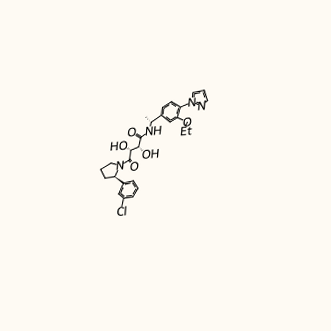 CCOc1cc([C@@H](C)NC(=O)[C@H](O)[C@@H](O)C(=O)N2CCC[C@@H]2c2cccc(Cl)c2)ccc1-n1cccn1